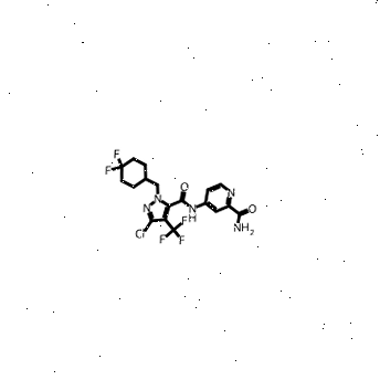 NC(=O)c1cc(NC(=O)c2c(C(F)(F)F)c(Cl)nn2CC2CCC(F)(F)CC2)ccn1